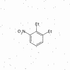 CCc1c[c]cc([N+](=O)[O-])c1CC